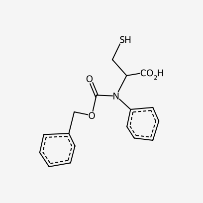 O=C(O)C(CS)N(C(=O)OCc1ccccc1)c1ccccc1